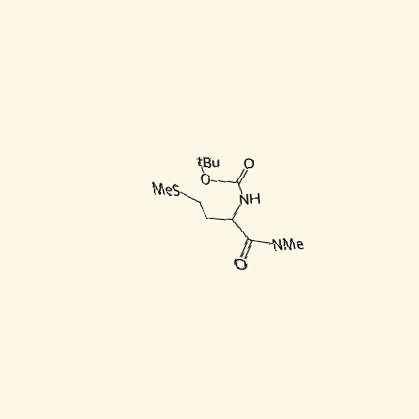 CNC(=O)C(CCSC)NC(=O)OC(C)(C)C